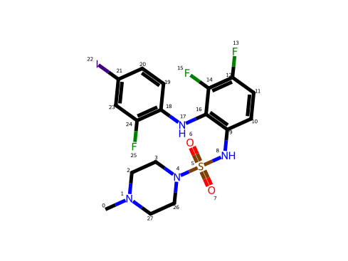 CN1CCN(S(=O)(=O)Nc2ccc(F)c(F)c2Nc2ccc(I)cc2F)CC1